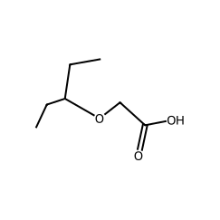 CCC(CC)OCC(=O)O